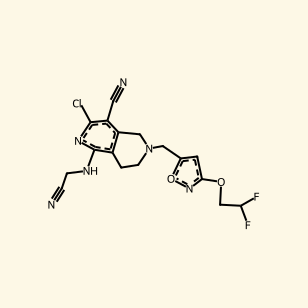 N#CCNc1nc(Cl)c(C#N)c2c1CCN(Cc1cc(OCC(F)F)no1)C2